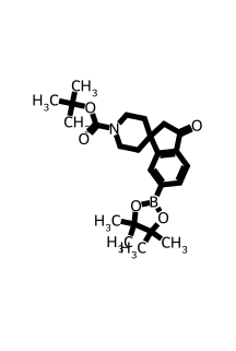 CC(C)(C)OC(=O)N1CCC2(CC1)CC(=O)c1ccc(B3OC(C)(C)C(C)(C)O3)cc12